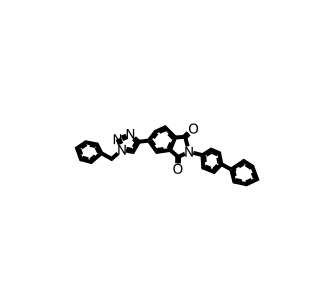 O=C1c2ccc(-c3cn(Cc4ccccc4)nn3)cc2C(=O)N1c1ccc(-c2ccccc2)cc1